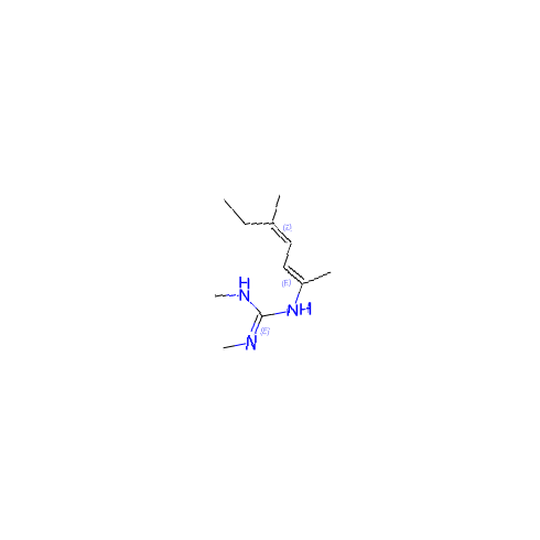 CC/C(C)=C\C=C(/C)N/C(=N/C)NC